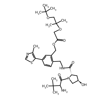 Cc1ncsc1-c1ccc(CNC(=O)[C@@H]2C[C@@H](O)CN2C(=O)C(N)C(C)(C)C)c(COC(=O)COC(C)(C)COC(C)(C)C)c1